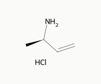 C=C[C@@H](C)N.Cl